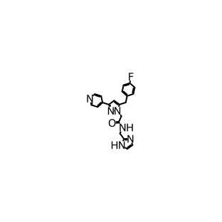 O=C(Cn1nc(-c2ccncc2)cc1Cc1ccc(F)cc1)NCc1ncc[nH]1